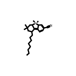 CCCCCCCCC1CC(C)(C)CC2C1=C1C=CC(C#N)=CC1[N+]2(C)C